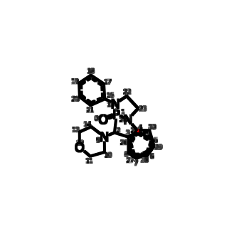 O=P1(C(c2ccccc2)N2CCOCC2)N(c2ccccc2)CCN1c1ccccc1